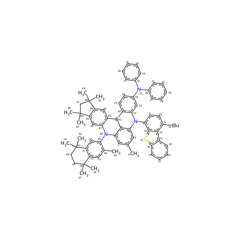 Cc1cc2c3c(c1)N(c1ccc(C(C)(C)C)c4c1sc1ccccc14)c1cc(N(c4ccccc4)c4ccccc4)ccc1B3c1cc3c(cc1N2c1cc2c(cc1C)C(C)(C)CCC2(C)C)C(C)(C)CC3(C)C